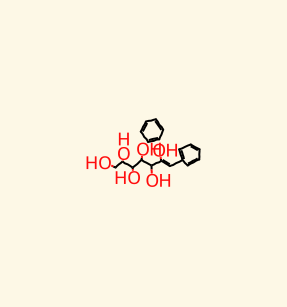 OCC(O)C(O)C(O)C(O)C(O)=Cc1ccccc1.c1ccccc1